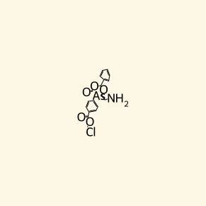 NCC(=O)[As](C(=O)OCc1ccccc1)c1ccc(C(=O)OCCl)cc1